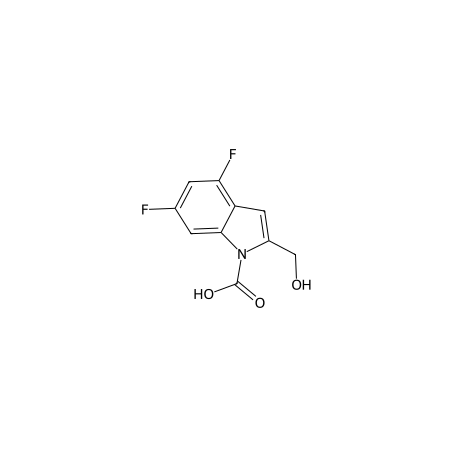 O=C(O)n1c(CO)cc2c(F)cc(F)cc21